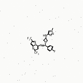 Cn1cc(NC2CN(C(CNc3cc(C(F)(F)F)nc4cc(C(F)(F)F)nn34)c3ccc(F)cc3)C2)nn1